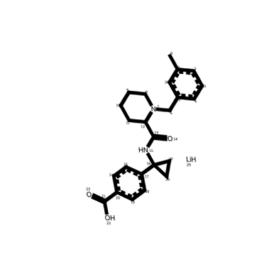 Cc1cccc(CN2CCCCC2C(=O)NC2(c3ccc(C(=O)O)cc3)CC2)c1.[LiH]